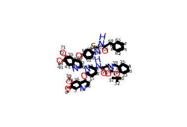 COc1cc2nccc(Oc3ccc(NC(=O)CN(Cc4ccccc4)C(=O)OC(C)(C)C)cn3)c2cc1OC.COc1cc2nccc(Oc3ccc4nc(NC(=O)Cc5ccccc5)sc4c3)c2cc1OC